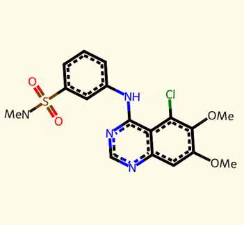 CNS(=O)(=O)c1cccc(Nc2ncnc3cc(OC)c(OC)c(Cl)c23)c1